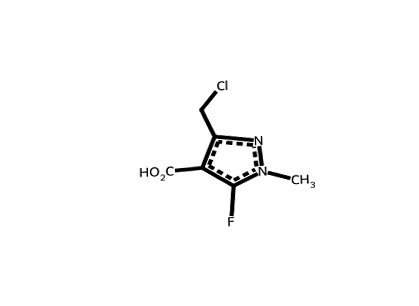 Cn1nc(CCl)c(C(=O)O)c1F